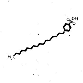 CCCCCCCCCCCCCCCCCc1ccc(S(=O)(=O)O)cc1